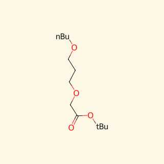 CCCCOCCCOCC(=O)OC(C)(C)C